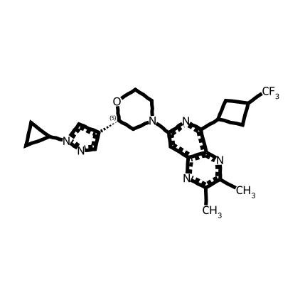 Cc1nc2cc(N3CCO[C@@H](c4cnn(C5CC5)c4)C3)nc(C3CC(C(F)(F)F)C3)c2nc1C